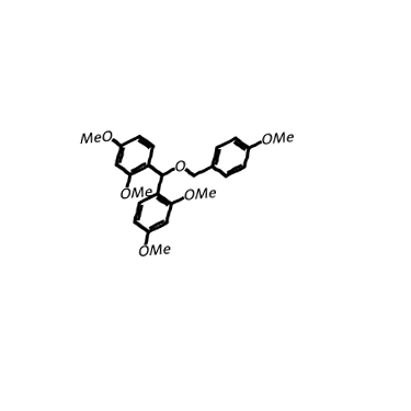 COc1ccc(COC(c2ccc(OC)cc2OC)c2ccc(OC)cc2OC)cc1